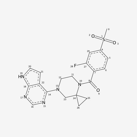 CS(=O)(=O)c1ccc(C(=O)N2CCN(c3ncnc4[nH]ccc34)CC23CC3)c(F)c1